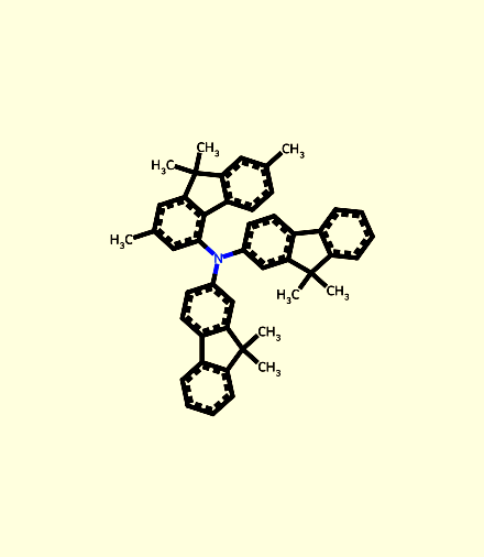 Cc1ccc2c(c1)C(C)(C)c1cc(C)cc(N(c3ccc4c(c3)C(C)(C)c3ccccc3-4)c3ccc4c(c3)C(C)(C)c3ccccc3-4)c1-2